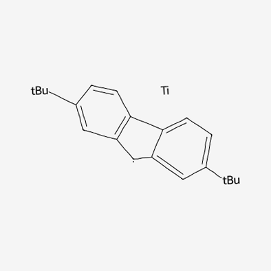 CC(C)(C)c1ccc2c(c1)[CH]c1cc(C(C)(C)C)ccc1-2.[Ti]